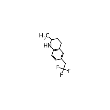 CC1CCc2cc(CC(F)(F)F)ccc2N1